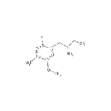 CCC(N)Cc1cc(OC)c(C)cc1F